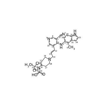 Cc1c(Nc2c(C#N)cncc2C=CCN2CCC(N(C(=O)O)C(C)(C)C)CC2)ccc2[nH]ccc12